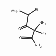 CCCCCCCC(CC)C(=O)C(N)(CC)C(N)=O